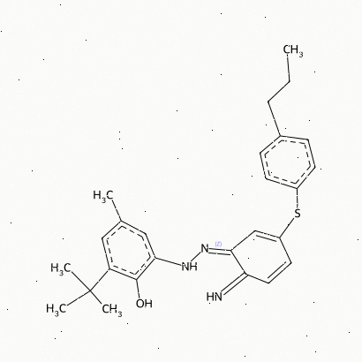 CCCc1ccc(SC2=C/C(=N/Nc3cc(C)cc(C(C)(C)C)c3O)C(=N)C=C2)cc1